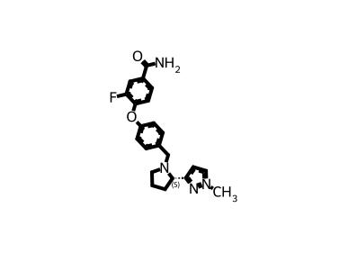 Cn1ccc([C@@H]2CCCN2Cc2ccc(Oc3ccc(C(N)=O)cc3F)cc2)n1